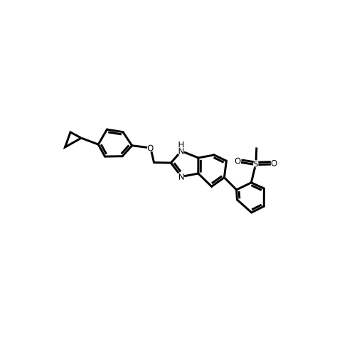 CS(=O)(=O)c1ccccc1-c1ccc2[nH]c(COc3ccc(C4CC4)cc3)nc2c1